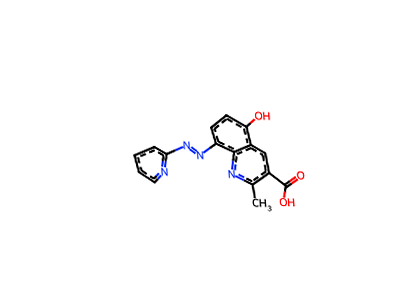 Cc1nc2c(/N=N/c3ccccn3)ccc(O)c2cc1C(=O)O